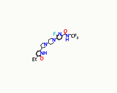 CCc1ccc(C2CCN(C3CCN(c4ccc(C(=O)NCC(F)(F)F)nc4F)CC3)C2)[nH]c1=O